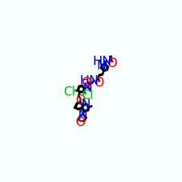 CC(=O)Nc1ccc(C=CC(=O)NCC(=O)N(C)c2ccc(Cl)c(COc3cccc4c(N5CCOCC5)cc(C)nc34)c2Cl)cn1